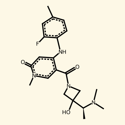 Cc1ccc(Nc2cc(=O)n(C)cc2C(=O)N2CC(O)([C@H](C)N(C)C)C2)c(F)c1